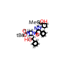 COC[C@]1(O)CCCC[C@H]1n1cnc(C(=O)N2CCN(C(=O)OC(C)(C)C)C[C@H]2C[C@H](O)c2ccccc2)c1-c1ccccc1